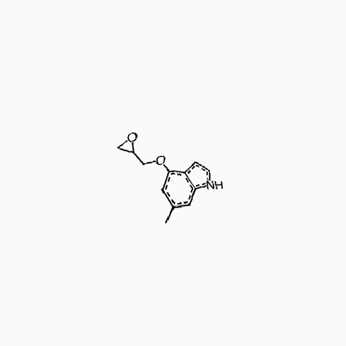 Cc1cc(OCC2CO2)c2cc[nH]c2c1